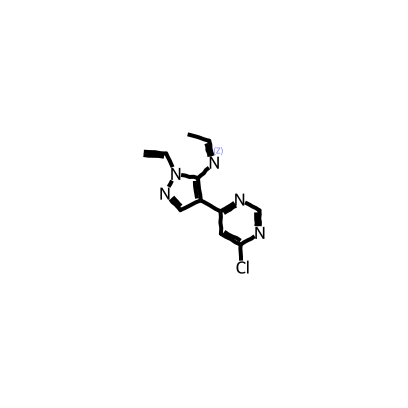 C=Cn1ncc(-c2cc(Cl)ncn2)c1/N=C\C